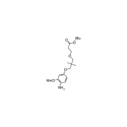 COc1cc(OCC(C)(C)COCCC(=O)OC(C)(C)C)ccc1N